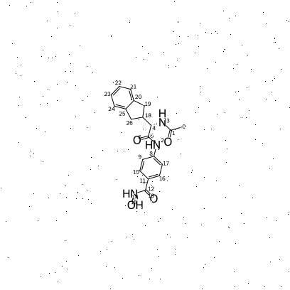 CC(=O)N[C@H](C(=O)Nc1ccc(C(=O)NO)cc1)C1Cc2ccccc2C1